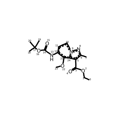 CCOC(=O)c1c(C)nn2ccc(NC(=O)OC(C)(C)C)c(OC)c12